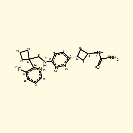 NC(=O)N[C@H]1C[C@H](c2ccc(NCC3(c4ncccc4F)CCC3)nn2)C1